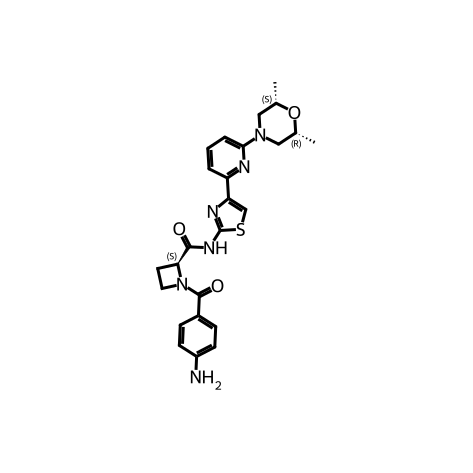 C[C@@H]1CN(c2cccc(-c3csc(NC(=O)[C@@H]4CCN4C(=O)c4ccc(N)cc4)n3)n2)C[C@H](C)O1